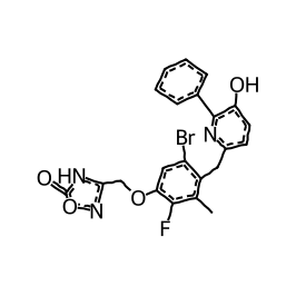 Cc1c(F)c(OCc2noc(=O)[nH]2)cc(Br)c1Cc1ccc(O)c(-c2ccccc2)n1